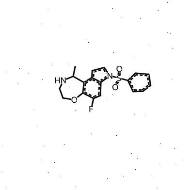 CC1NCCOc2c(F)cc3c(ccn3S(=O)(=O)c3ccccc3)c21